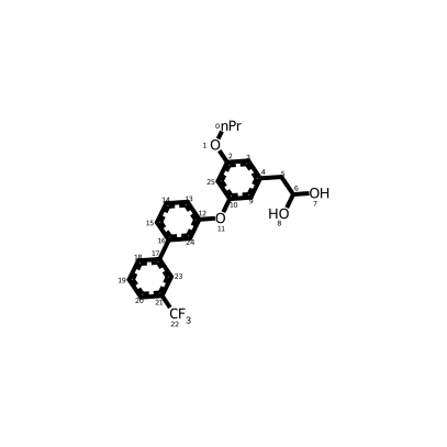 CCCOc1cc(CC(O)O)cc(Oc2cccc(-c3cccc(C(F)(F)F)c3)c2)c1